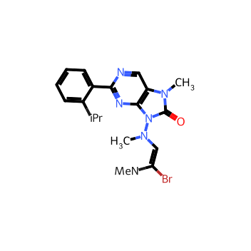 CN/C(Br)=C\N(C)n1c(=O)n(C)c2cnc(-c3ccccc3C(C)C)nc21